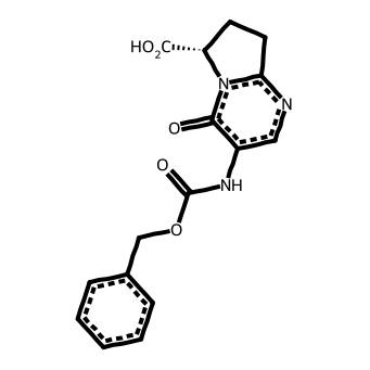 O=C(Nc1cnc2n(c1=O)[C@H](C(=O)O)CC2)OCc1ccccc1